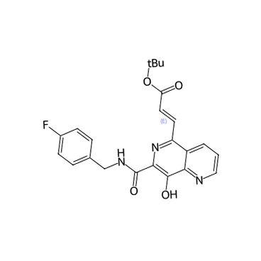 CC(C)(C)OC(=O)/C=C/c1nc(C(=O)NCc2ccc(F)cc2)c(O)c2ncccc12